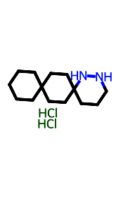 C1CCC2(CC1)CCC1(CCCNN1)CC2.Cl.Cl